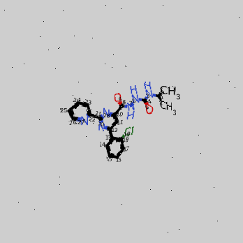 CC(C)NC(=O)NNC(=O)c1cc(-c2ccccc2Cl)nc(-c2ccccn2)n1